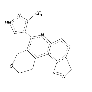 FC(F)(F)c1n[nH]cc1-c1nc2ccc3c(c2c2c1COCC2)C=NC3